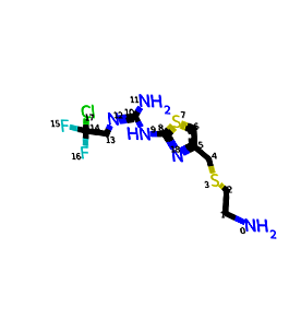 NCCSCc1csc(N/C(N)=N\CC(F)(F)Cl)n1